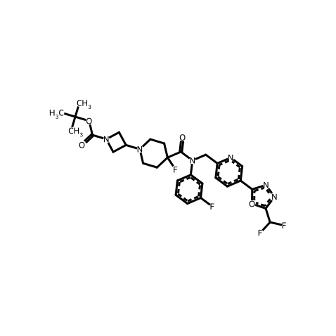 CC(C)(C)OC(=O)N1CC(N2CCC(F)(C(=O)N(Cc3ccc(-c4nnc(C(F)F)o4)cn3)c3cccc(F)c3)CC2)C1